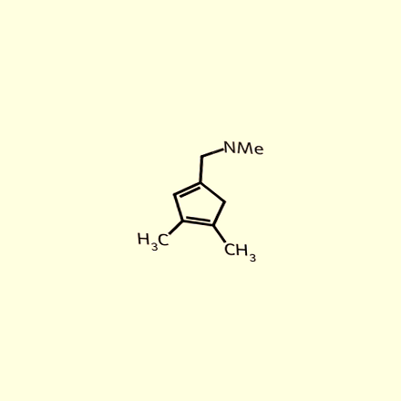 CNCC1=CC(C)=C(C)C1